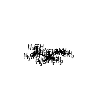 CC(C)(C)OC(=O)/N=C(/N(CCCCCCCN/C(=N\C(=O)OC(C)(C)C)NC(=O)OC(C)(C)C)C(=O)OC(C)(C)C)N(CCCOc1ccc(C(=N)NC(=O)OC(C)(C)C)nn1)C(=O)OC(C)(C)C